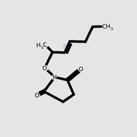 CCC/C=C/C(C)ON1C(=O)CCC1=O